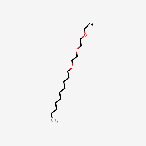 CCCCCCCCCCO[CH]COCCOCC